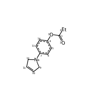 CCC(=O)Oc1ccc(N2CC=CC2)cc1